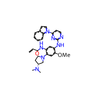 C=CC(=O)Nc1cc(Nc2nccc(-n3ccc4ccccc43)n2)c(OC)cc1N1CC[C@@H](N(C)C)C1